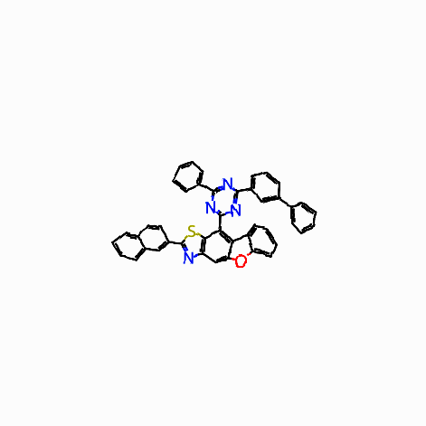 c1ccc(-c2cccc(-c3nc(-c4ccccc4)nc(-c4c5sc(-c6ccc7ccccc7c6)nc5cc5oc6ccccc6c45)n3)c2)cc1